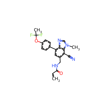 C=CC(=O)NCc1cc(-c2ccc(OC(C)(F)F)cc2)c2ncn(C)c2c1C#N